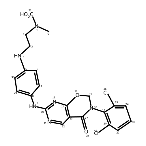 CN(CCNc1ccc(Nc2ncc3c(n2)OCN(c2c(Cl)cccc2Cl)C3=O)cc1)C(=O)O